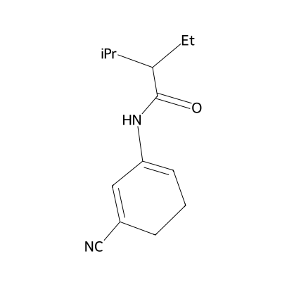 CCC(C(=O)NC1=CCCC(C#N)=C1)C(C)C